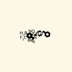 Bc1c(C(F)(F)F)c(B)c2c(=O)nc(N3CCN(CC4CCCCC4)CC3)sc2c1[N+](=O)[O-]